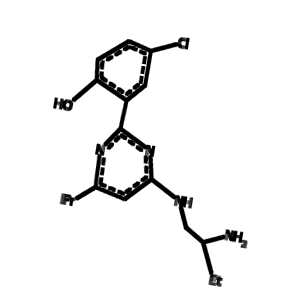 CCC(N)CNc1cc(C(C)C)nc(-c2cc(Cl)ccc2O)n1